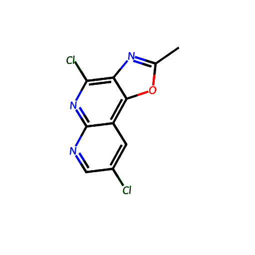 Cc1nc2c(Cl)nc3ncc(Cl)cc3c2o1